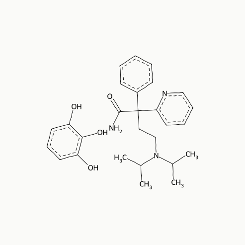 CC(C)N(CCC(C(N)=O)(c1ccccc1)c1ccccn1)C(C)C.Oc1cccc(O)c1O